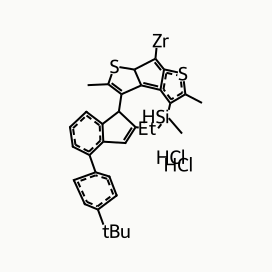 CCC1=Cc2c(-c3ccc(C(C)(C)C)cc3)cccc2C1C1=C(C)SC2[C]([Zr])=c3sc(C)c([SiH](C)C)c3=C12.Cl.Cl